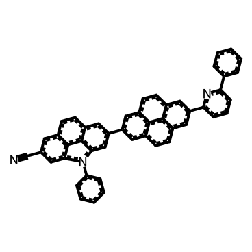 N#Cc1cc2ccc3cc(-c4cc5ccc6cc(-c7cccc(-c8ccccc8)n7)cc7ccc(c4)c5c67)cc4c3c2c(c1)n4-c1ccccc1